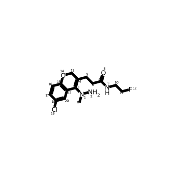 CN(N)C1=C(CCC(=O)NCCF)COc2ccc(Cl)cc21